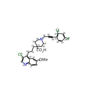 COc1ccc2ncc(Cl)c(CCCC3(C(=O)O)CCN(CC#Cc4ccc(F)cc4Cl)CC3)c2c1